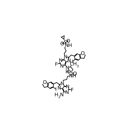 CC(CS(=O)(=O)NCCCn1c(Cc2cc3c(cc2I)CCO3)nc2c(N)nc(F)nc21)Nc1nc(F)nc2c1nc(Cc1cc3c(cc1I)CCO3)n2CCCNS(=O)(=O)C1CC1